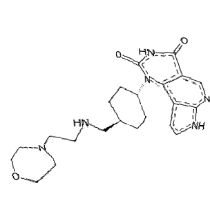 O=c1[nH]c(=O)n([C@H]2CC[C@H](CNCCN3CCOCC3)CC2)c2c1cnc1[nH]ccc12